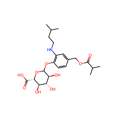 CC(C)CCNc1cc(COC(=O)C(C)C)ccc1OC1O[C@@H](C(=O)O)[C@H](O)[C@@H](O)[C@@H]1O